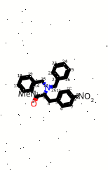 CNC(=O)C(Cc1ccc([N+](=O)[O-])cc1)N(Cc1ccccc1)Cc1ccccc1